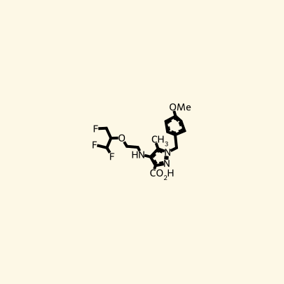 COc1ccc(Cn2nc(C(=O)O)c(NCCOC(CF)C(F)F)c2C)cc1